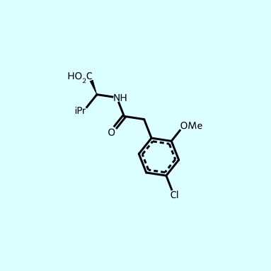 COc1cc(Cl)ccc1CC(=O)N[C@H](C(=O)O)C(C)C